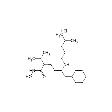 CC(C)CCCNC(CCC(C(=O)NO)C(C)C)CC1CCCCC1.Cl